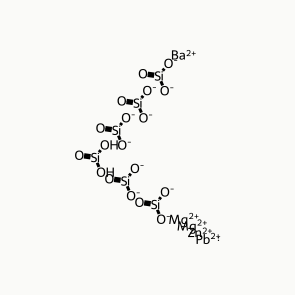 O=[Si](O)O.O=[Si]([O-])[O-].O=[Si]([O-])[O-].O=[Si]([O-])[O-].O=[Si]([O-])[O-].O=[Si]([O-])[O-].[Ba+2].[Mg+2].[Mg+2].[Pb+2].[Zn+2]